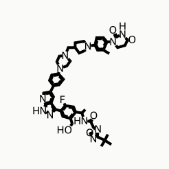 Cc1cc(N2CCC(CN3CCN(c4ccc(-c5cnc6[nH]nc(-c7cc(CO)c(C(C)NC(=O)c8nc(C(C)(C)C)no8)cc7F)c6c5)cc4)CC3)CC2)ccc1N1CCC(=O)NC1=O